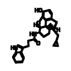 O=C(CCc1c[nH]c2ccccc12)N[C@H]1CC[C@@]2(O)[C@H]3Cc4ccc(O)c5c4[C@@]2(CCN3CC2CC2)[C@H]1O5